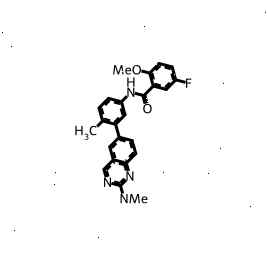 CNc1ncc2cc(-c3cc(NC(=O)c4cc(F)ccc4OC)ccc3C)ccc2n1